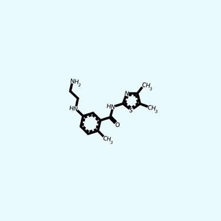 Cc1ccc(NCCN)cc1C(=O)Nc1nc(C)c(C)s1